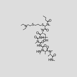 CCCC(=O)N(C)[C@H](SCCCSCCN(CC)CC)C(=O)N(C)[C@@H](CC(C)(C)O)C(=O)NC(=O)N(C)C(=O)NC(=O)N(NC)C(C)C(=O)N(C)[C@H](C)C(=O)NC